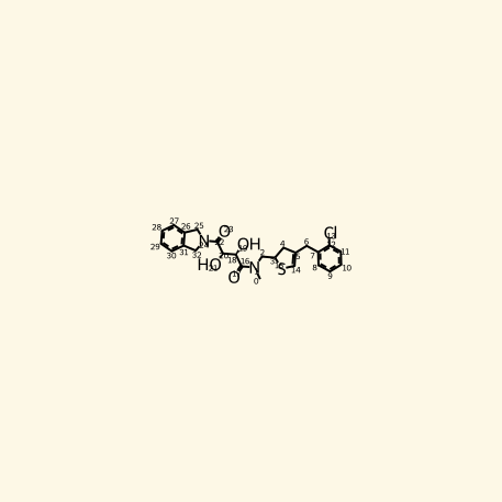 CN(CC1CC(Cc2ccccc2Cl)=CS1)C(=O)[C@H](O)[C@@H](O)C(=O)N1Cc2ccccc2C1